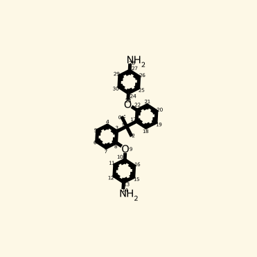 [CH]C(C)(c1ccccc1Oc1ccc(N)cc1)c1ccccc1Oc1ccc(N)cc1